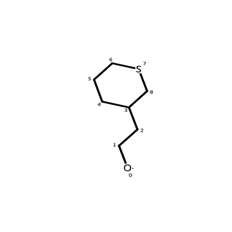 [O]CCC1CCCSC1